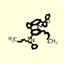 C=C/C=C\C=C\c1cc(-c2nc(C/C=C\C=C/C)cc(-c3ccccc3)n2)cc(-c2ccccc2)c1-n1c2ccccc2c2c3c(ccc21)oc1ccccc13